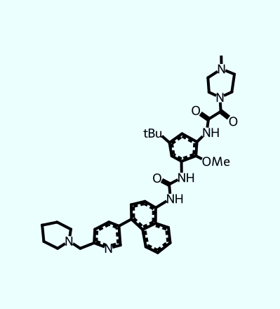 COc1c(NC(=O)Nc2ccc(-c3ccc(CN4CCCCC4)nc3)c3ccccc23)cc(C(C)(C)C)cc1NC(=O)C(=O)N1CCN(C)CC1